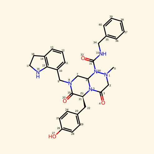 CN1CC(=O)N2C(CN(Cc3cccc4c3NCC4)C(=O)[C@@H]2Cc2ccc(O)cc2)N1C(=O)NCc1ccccc1